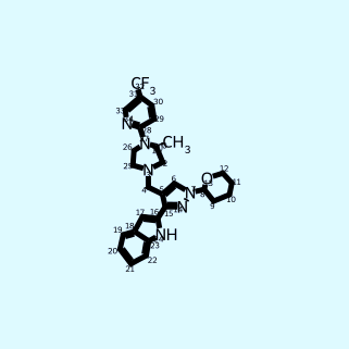 C[C@@H]1CN(Cc2cn(C3CCCCO3)nc2-c2cc3ccccc3[nH]2)CCN1c1ccc(C(F)(F)F)cn1